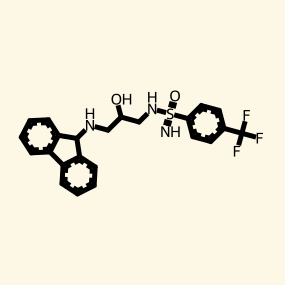 N=S(=O)(NCC(O)CNC1c2ccccc2-c2ccccc21)c1ccc(C(F)(F)F)cc1